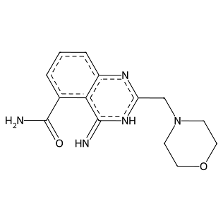 N=c1[nH]c(CN2CCOCC2)nc2cccc(C(N)=O)c12